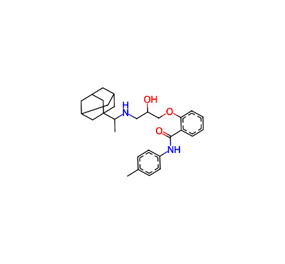 Cc1ccc(NC(=O)c2ccccc2OCC(O)CNC(C)C23CC4CC(CC(C4)C2)C3)cc1